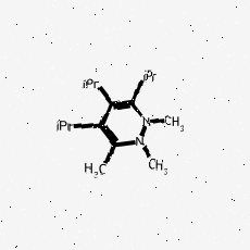 CC1=C(C(C)C)C(C(C)C)=C(C(C)C)N(C)N1C